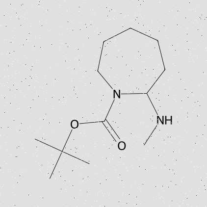 CNC1CCCCCN1C(=O)OC(C)(C)C